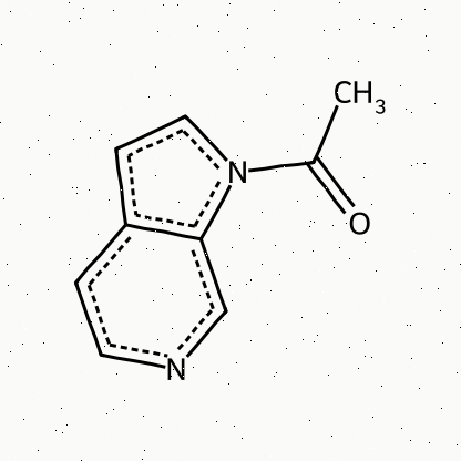 CC(=O)n1ccc2ccncc21